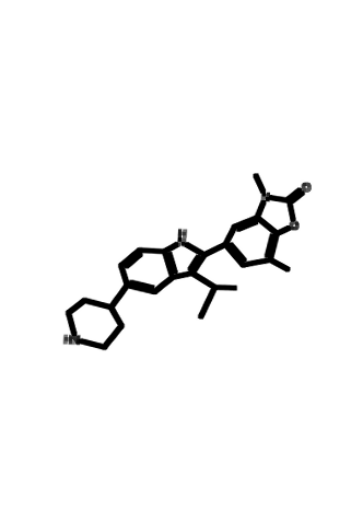 Cc1cc(-c2[nH]c3ccc(C4CCNCC4)cc3c2C(C)C)cc2c1oc(=O)n2C